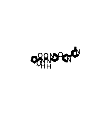 COC1(C(=O)NC(=O)Nc2ccc(Oc3ccnc(-c4ccnc(C)c4)c3)cn2)CCCC1